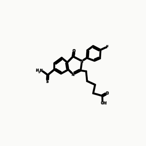 NC(=S)c1ccc2c(=O)n(-c3ccc(F)cc3)c(CCCCC(=O)O)nc2c1